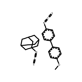 COc1ccc(-c2ccc(N=C=S)cc2)cc1.S=C=NC12CC3CC(CC(C3)C1)C2